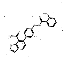 COc1ccccc1C(=O)NCc1ccc(-c2ccc3cn[nH]c3c2C(N)=O)cc1